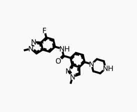 Cn1cc2cc(NC(=O)c3ccc(N4CCNCC4)c4cn(C)nc34)cc(F)c2n1